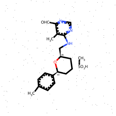 CS(=O)(=O)O.Cc1ccc([C@@H]2CCC[C@H](CNc3ncnc(C=O)c3C)O2)cc1